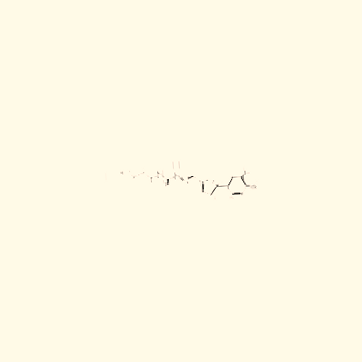 COCCCNC(=S)N/N=C/c1ccc(-c2ccc(Cl)c(Cl)c2)o1